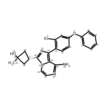 CCc1cc(Oc2ccccc2)ccc1-c1nc([C@H]2C[C@@](C)(O)C2)n2ccnc(N)c12